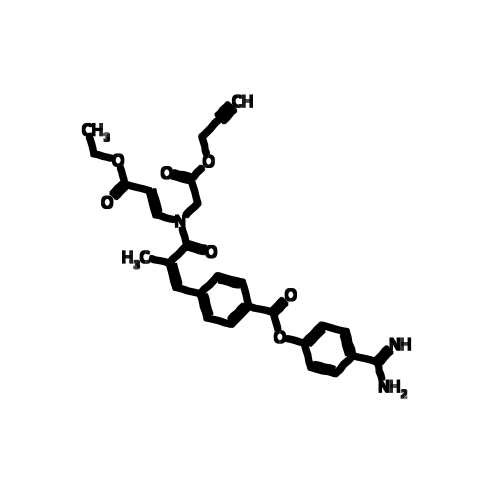 C#CCOC(=O)CN(C=CC(=O)OCC)C(=O)C(C)=Cc1ccc(C(=O)Oc2ccc(C(=N)N)cc2)cc1